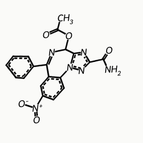 CC(=O)OC1N=C(c2ccccc2)c2cc([N+](=O)[O-])ccc2-n2nc(C(N)=O)nc21